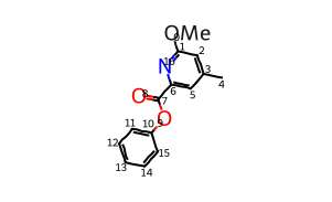 COc1cc(C)cc(C(=O)Oc2ccccc2)n1